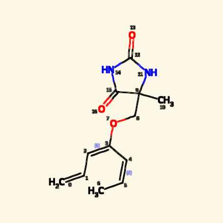 C=C/C=C(\C=C/C)OCC1(C)NC(=O)NC1=O